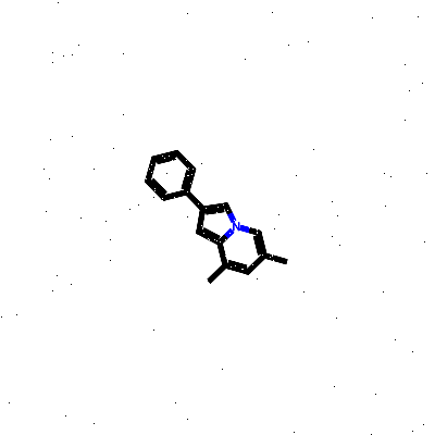 Cc1cc(C)c2cc(-c3ccccc3)cn2c1